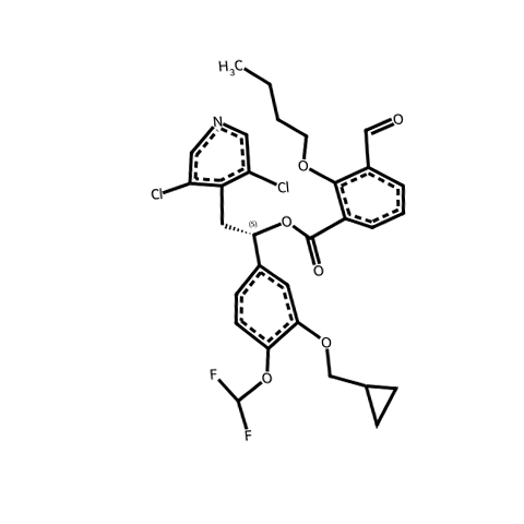 CCCCOc1c(C=O)cccc1C(=O)O[C@@H](Cc1c(Cl)cncc1Cl)c1ccc(OC(F)F)c(OCC2CC2)c1